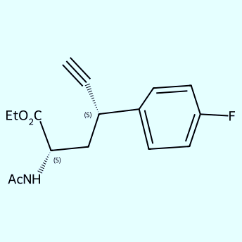 C#C[C@@H](C[C@H](NC(C)=O)C(=O)OCC)c1ccc(F)cc1